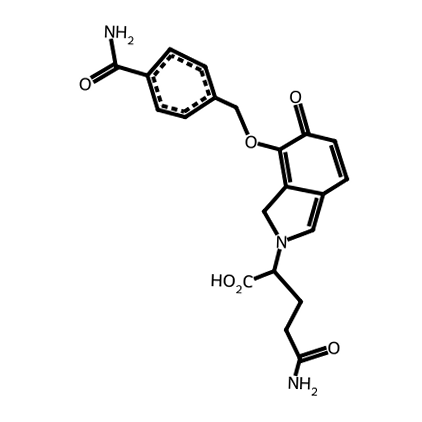 NC(=O)CCC(C(=O)O)N1C=C2C=CC(=O)C(OCc3ccc(C(N)=O)cc3)=C2C1